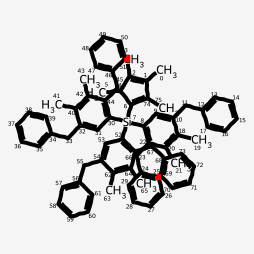 CC1=C(C)C(C)C([Si](c2cc(Cc3ccccc3)c(C)c(C)c2Cc2ccccc2)(c2cc(Cc3ccccc3)c(C)c(C)c2Cc2ccccc2)c2cc(Cc3ccccc3)c(C)c(C)c2Cc2ccccc2)=C1C